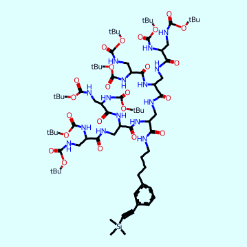 CC(C)(C)OC(=O)NCC(NC(=O)OC(C)(C)C)C(=O)NCC(NC(=O)C(CNC(=O)OC(C)(C)C)NC(=O)OC(C)(C)C)C(=O)NCC(NC(=O)C(CNC(=O)C(CNC(=O)OC(C)(C)C)NC(=O)OC(C)(C)C)NC(=O)C(CNC(=O)OC(C)(C)C)NC(=O)OC(C)(C)C)C(=O)NCCCCc1cccc(C#C[Si](C)(C)C)c1